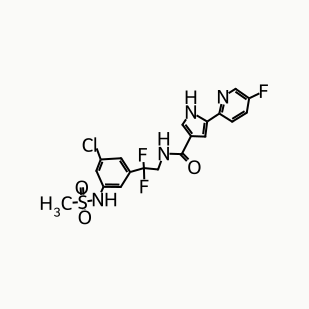 CS(=O)(=O)Nc1cc(Cl)cc(C(F)(F)CNC(=O)c2c[nH]c(-c3ccc(F)cn3)c2)c1